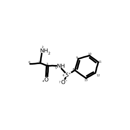 CC(N)C(=O)N[S+]([O-])c1ccccc1